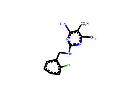 Cc1nc(NCc2ccccc2Cl)nc(N)c1C(=O)O